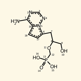 Nc1ncnn2c(CC(CO)OCP(=O)(O)O)ccc12